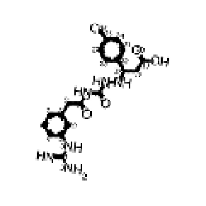 N=C(N)Nc1cccc(CC(=O)NC(=O)NNC(CC(=O)O)c2ccc(Cl)cc2)c1